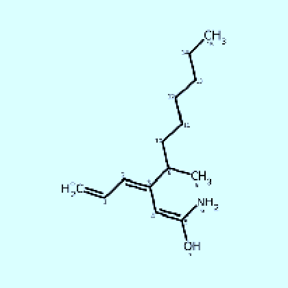 C=C/C=C(\C=C(/N)O)C(C)CCCCCC